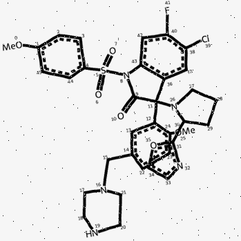 COc1ccc(S(=O)(=O)N2C(=O)C(c3cc(CN4CCNCC4)ccc3OC)(N3CCCC3c3ncco3)c3cc(Cl)c(F)cc32)cc1